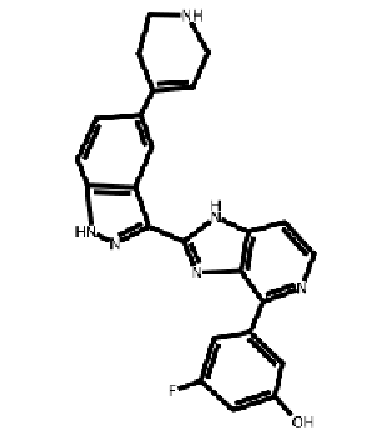 Oc1cc(F)cc(-c2nccc3[nH]c(-c4n[nH]c5ccc(C6=CCNCC6)cc45)nc23)c1